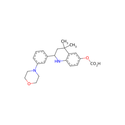 CC1(C)CC(c2cccc(N3CCOCC3)c2)Nc2ccc(OC(=O)O)cc21